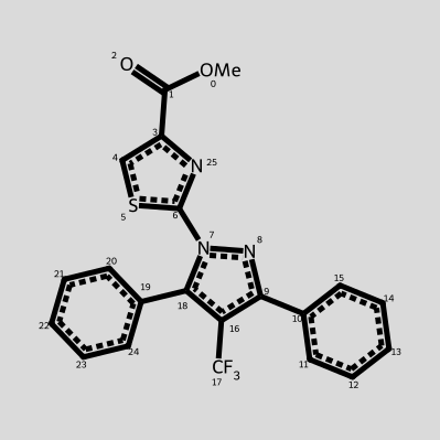 COC(=O)c1csc(-n2nc(-c3ccccc3)c(C(F)(F)F)c2-c2ccccc2)n1